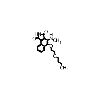 CCCCOCCOc1c(NC)c2c(c3ccccc13)C(=O)NC2=O